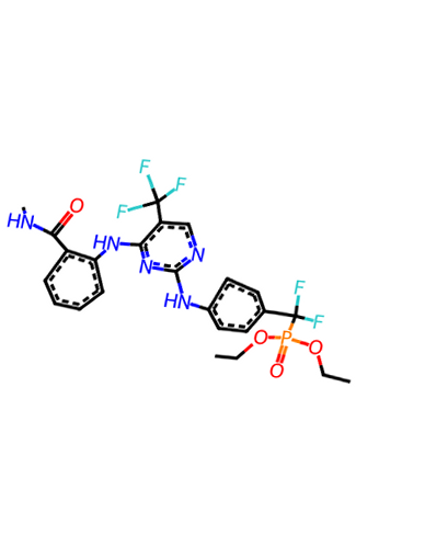 CCOP(=O)(OCC)C(F)(F)c1ccc(Nc2ncc(C(F)(F)F)c(Nc3ccccc3C(=O)NC)n2)cc1